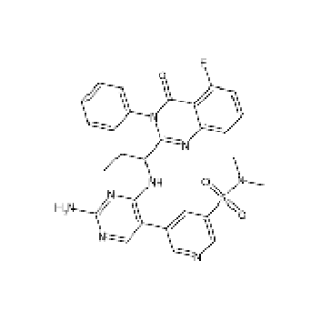 CCC(Nc1nc(N)ncc1-c1cncc(S(=O)(=O)N(C)C)c1)c1nc2cccc(F)c2c(=O)n1-c1ccccc1